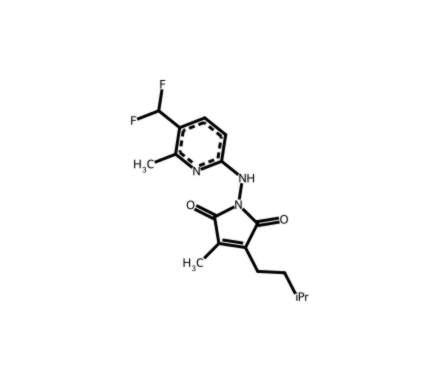 CC1=C(CCC(C)C)C(=O)N(Nc2ccc(C(F)F)c(C)n2)C1=O